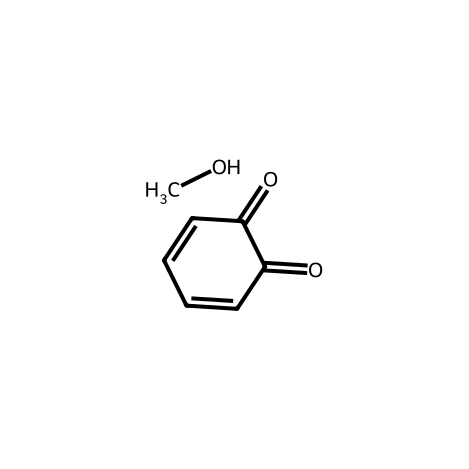 CO.O=C1C=CC=CC1=O